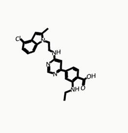 CCNc1cc(-c2cc(NCCn3c(C)cc4c(Cl)cccc43)ncn2)ccc1C(=O)O